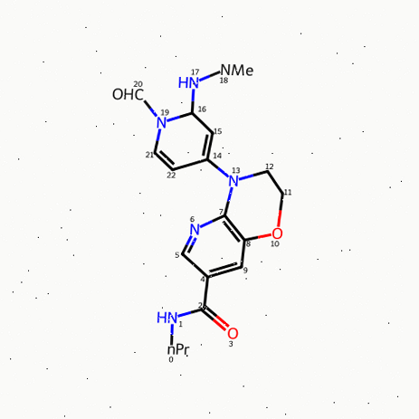 CCCNC(=O)c1cnc2c(c1)OCCN2C1=CC(NNC)N(C=O)C=C1